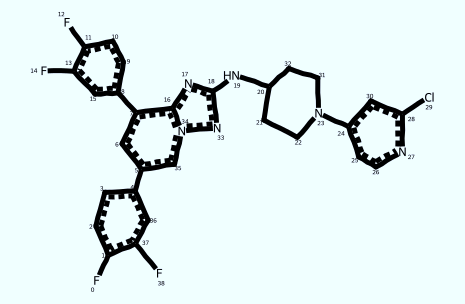 Fc1ccc(-c2cc(-c3ccc(F)c(F)c3)c3nc(NC4CCN(c5ccnc(Cl)c5)CC4)nn3c2)cc1F